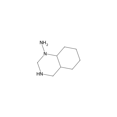 NN1CNCC2CCCCC21